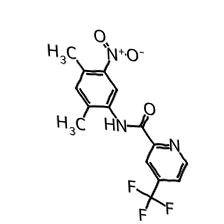 Cc1cc(C)c([N+](=O)[O-])cc1NC(=O)c1cc(C(F)(F)F)ccn1